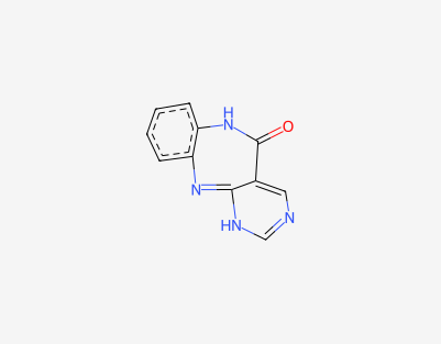 O=C1Nc2ccccc2N=C2NC=NC=C12